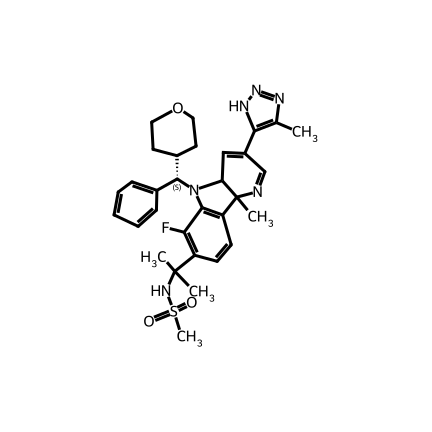 Cc1nn[nH]c1C1=CC2N([C@H](c3ccccc3)C3CCOCC3)c3c(ccc(C(C)(C)NS(C)(=O)=O)c3F)C2(C)N=C1